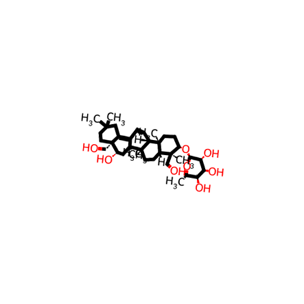 C[C@H]1O[C@@H](O[C@H]2CC[C@@]3(C)[C@@H](CC[C@]4(C)[C@@H]3C=CC3=C5CC(C)(C)CC[C@]5(CO)[C@@H](O)C[C@]34C)[C@]2(C)CO)[C@H](O)[C@@H](O)[C@H]1O